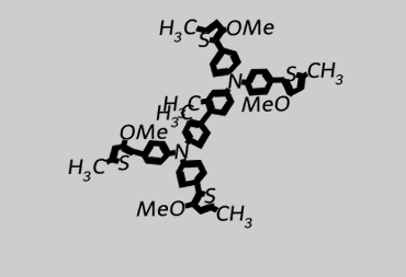 COc1cc(C)sc1-c1ccc(N(c2ccc(-c3sc(C)cc3OC)cc2)c2ccc(-c3ccc(N(c4ccc(-c5sc(C)cc5OC)cc4)c4ccc(-c5sc(C)cc5OC)cc4)cc3C)c(C)c2)cc1